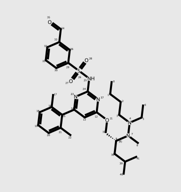 CCCCN(CC)N(C)[C@@H](COc1cc(-c2c(C)cccc2C)nc(NS(=O)(=O)c2cccc(C=O)c2)n1)CC(C)C